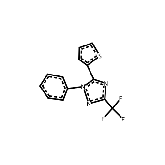 FC(F)(F)c1nc(-c2cccs2)n(-c2ccccc2)n1